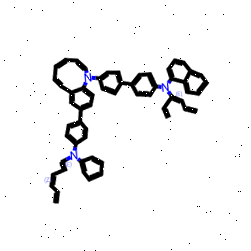 C=C/C=C\C=C\N(c1ccccc1)c1ccc(-c2ccc3c(ccccccn3-c3ccc(-c4ccc(N(/C(C=C)=C/C=C)c5cccc6ccccc56)cc4)cc3)c2)cc1